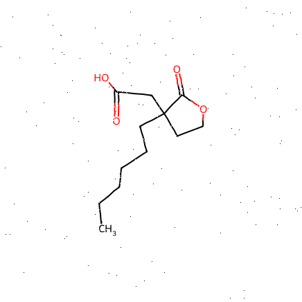 CCCCCCC1(CC(=O)O)CCOC1=O